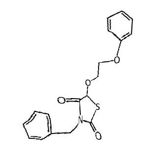 O=C1SC(OCCOc2ccccc2)C(=O)N1Cc1ccccc1